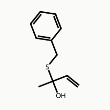 C=CC(C)(O)SCc1ccccc1